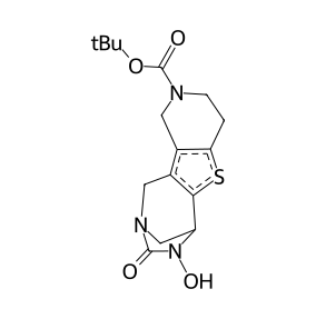 CC(C)(C)OC(=O)N1CCc2sc3c(c2C1)CN1CC3N(O)C1=O